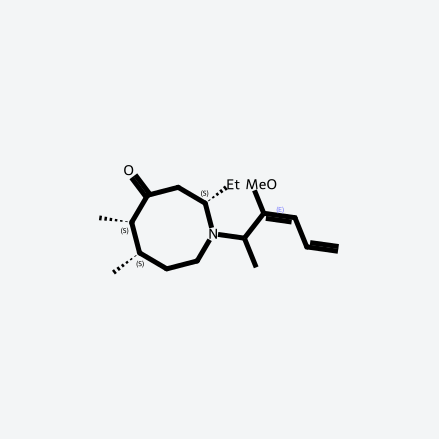 C=C/C=C(/OC)C(C)N1CC[C@H](C)[C@H](C)C(=O)C[C@@H]1CC